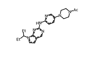 CCC(CC)n1ccc2cnc(Nc3ccc(N4CCN(C(C)=O)CC4)cn3)nc21